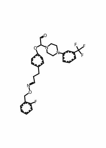 O=CC(Oc1ccc(CCC=NOCc2ccccc2F)cc1)N1CCN(c2cccc(C(F)(F)F)c2)CC1